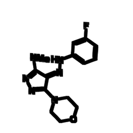 CNC1=NN=C(N2CCOCC2)C1=NNc1cccc(F)c1